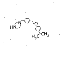 CC(C)c1ccc(OCCc2ccc(CN3CCCNCC3)cc2)cc1